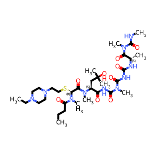 CCCC(=O)N(C)[C@H](SCCN1CCN(CC)CC1)C(=O)N(C)[C@@H](CC(C)(C)O)C(=O)NC(=O)N(C)C(=O)NC(=O)N[C@@H](C)C(=O)N(C)C(=O)NC